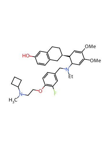 CCN(Cc1ccc(OCCN(C)C2CCC2)c(F)c1)C1C=C(OC)C(OC)=CC1[C@@H]1CCc2cc(O)ccc2C1